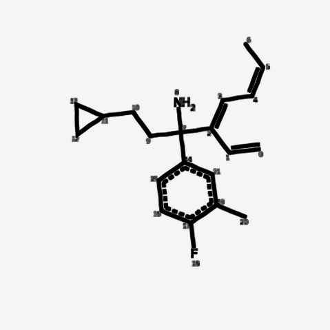 C=C/C(=C\C=C/C)C(N)(CCC1CC1)c1ccc(F)c(C)c1